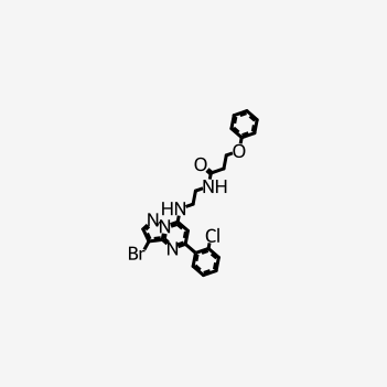 O=C(CCOc1ccccc1)NCCNc1cc(-c2ccccc2Cl)nc2c(Br)cnn12